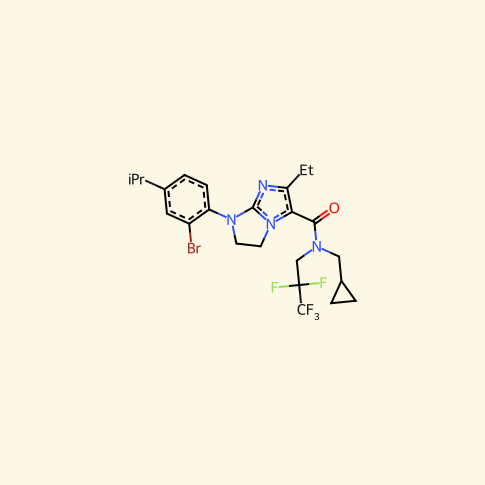 CCc1nc2n(c1C(=O)N(CC1CC1)CC(F)(F)C(F)(F)F)CCN2c1ccc(C(C)C)cc1Br